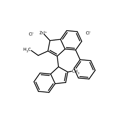 CCC1=C(C2C(C)=Cc3ccccc32)c2c(-c3ccccc3)cccc2[CH]1[Zr+2].[Cl-].[Cl-]